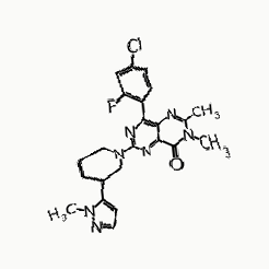 Cc1nc2c(-c3ccc(Cl)cc3F)nc(N3CCCC(c4ccnn4C)C3)nc2c(=O)n1C